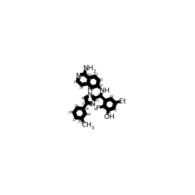 CCc1cc(O)c(F)c(C(Nc2ccc3c(N)nccc3c2)c2nc(-c3cccc(C)c3)c[nH]2)c1